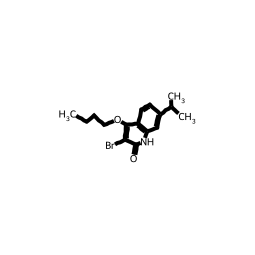 CCCCOc1c(Br)c(=O)[nH]c2cc(C(C)C)ccc12